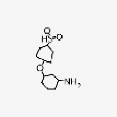 NC1CCCC(OC2CCC([SH](=O)=O)CC2)C1